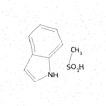 CS(=O)(=O)O.c1ccc2[nH]ccc2c1